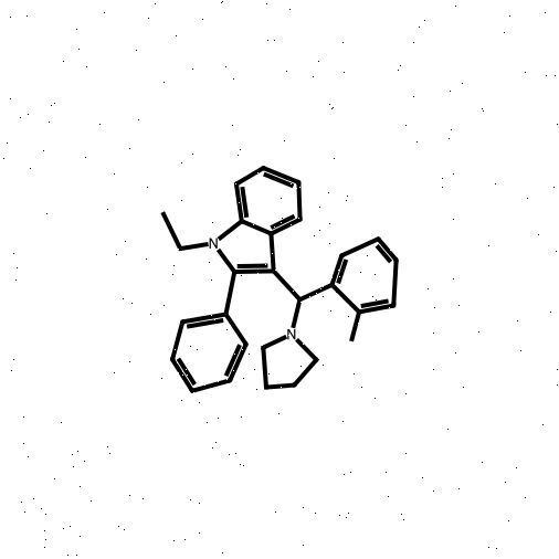 CCn1c(-c2ccccc2)c(C(c2ccccc2C)N2CCCC2)c2ccccc21